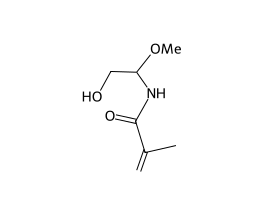 C=C(C)C(=O)NC(CO)OC